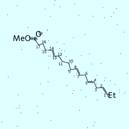 CCC=CCC=CCC=CCCCCC=CCCCC(=O)OC